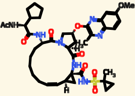 COc1ccc2nc(C)c(O[C@@H]3C[C@H]4C(=O)N[C@]5(C(=O)NS(=O)(=O)C6(C)CC6)C[C@H]5/C=C\CCCCC[C@H](NC(=O)[C@@H](NC(C)=O)C5CCCC5)C(=O)N4C3)nc2c1